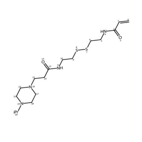 C=CC(=O)NCCSSCCNC(=O)CCN1CCN(C(C)C)CC1